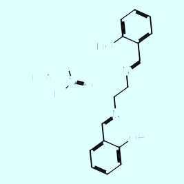 O=[N+]([O-])O.Oc1ccccc1/C=N/CC/N=C/c1ccccc1O.[AlH3]